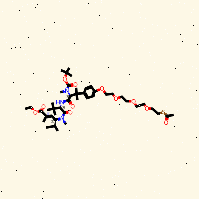 CCOC(=O)/C(C)=C/[C@H](C(C)C)N(C)C(=O)[C@@H](NC(=O)[C@@H](N(C)C(=O)OC(C)(C)C)C(C)(C)c1ccc(OCCOCCOCCOCCSC(C)=O)cc1)C(C)(C)C